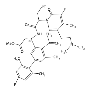 C=C(C)c1c(C)cc(-c2c(C)cc(F)cc2C)cc1[C@H](CC(=O)OC)NC(=O)C(CC(C)C)n1cc(CCN(C)C)c(C)c(F)c1=O